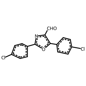 O=Cc1nc(-c2ccc(Cl)cc2)oc1-c1ccc(Cl)cc1